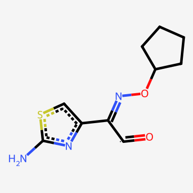 Nc1nc(/C([C]=O)=N/OC2CCCC2)cs1